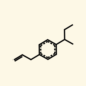 [CH]=CCc1ccc(C(C)CC)cc1